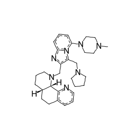 CN1CCN(c2cccc3nc(CN4CCC[C@H]5CCc6cccnc6[C@H]54)c(CN4CCCC4)n23)CC1